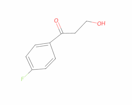 O=C(CCO)c1ccc(F)cc1